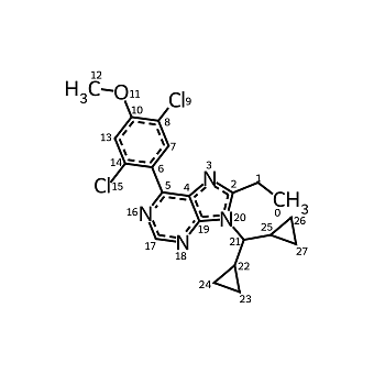 CCc1nc2c(-c3cc(Cl)c(OC)cc3Cl)ncnc2n1C(C1CC1)C1CC1